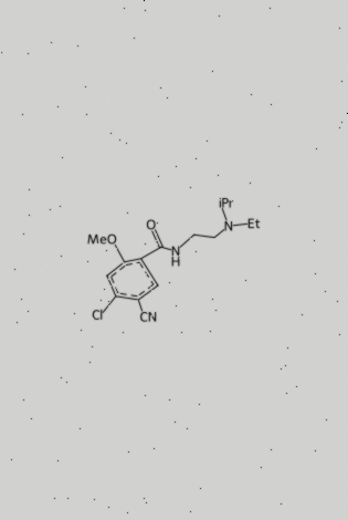 CCN(CCNC(=O)c1cc(C#N)c(Cl)cc1OC)C(C)C